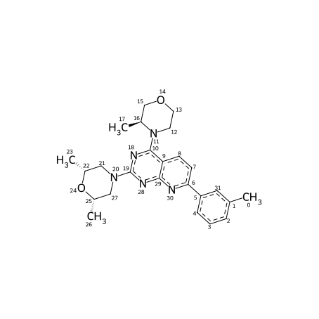 Cc1cccc(-c2ccc3c(N4CCOC[C@@H]4C)nc(N4C[C@@H](C)O[C@@H](C)C4)nc3n2)c1